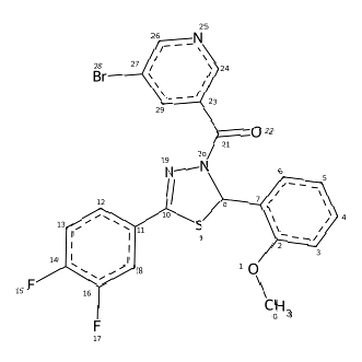 COc1ccccc1C1SC(c2ccc(F)c(F)c2)=NN1C(=O)c1cncc(Br)c1